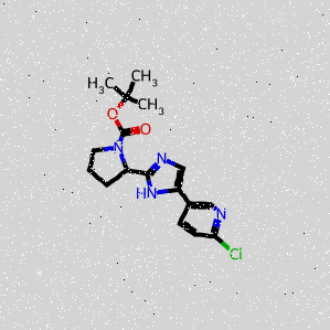 CC(C)(C)OC(=O)N1CCCC1c1ncc(-c2ccc(Cl)nc2)[nH]1